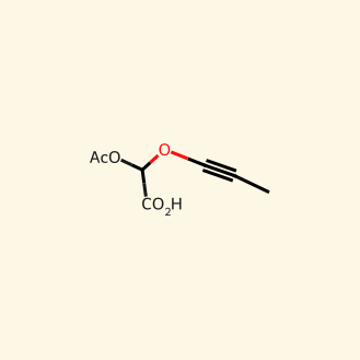 CC#COC(OC(C)=O)C(=O)O